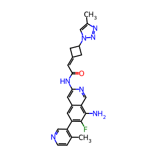 Cc1cn(C2CC(=CC(=O)Nc3cc4cc(-c5cnccc5C)c(F)c(N)c4cn3)C2)nn1